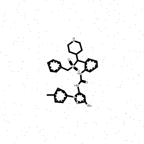 Cc1ccc(-n2nc(C(C)(C)C)cc2NC(=O)Nc2ccccc2C(C2CCNCC2)S(=O)(=O)Cc2ccccc2)cc1